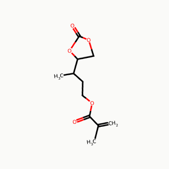 C=C(C)C(=O)OCCC(C)C1COC(=O)O1